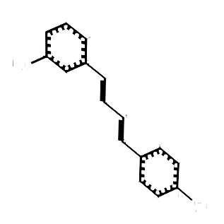 Cc1cccc(C=CC=Cc2ccc(C(C)(C)C)cc2)c1